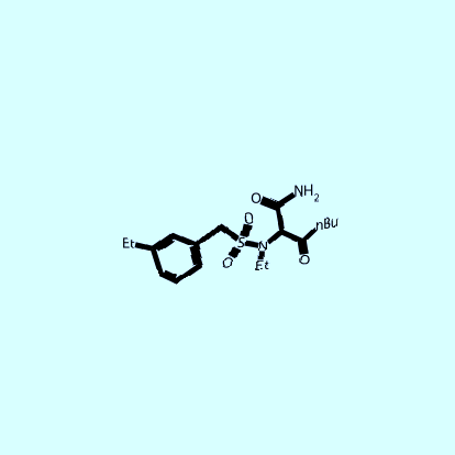 CCCCC(=O)C(C(N)=O)N(CC)S(=O)(=O)Cc1cccc(CC)c1